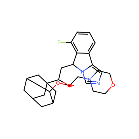 OC(CC1c2c(F)cccc2-c2cncn21)C12CC3CC(C1)C(OCCN1CCOCC1)C(C3)C2